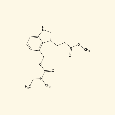 CCN(C)C(=O)OCc1cccc2c1C(CCC(=O)OC)CN2